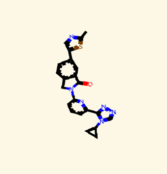 Cc1ncc(-c2ccc3c(c2)C(=O)N(c2cccc(-c4nncn4C4CC4)n2)C3)s1